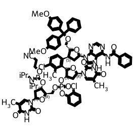 COc1ccc(C(OC[C@@H]2O[C@@H](n3cnc4c(NC(=O)c5ccccc5)ncnc43)C[C@H]2c2c[c]c(Cl)c(C)c2[C@H]2O[C@@H](n3cc(C)c(=O)[nH]c3=O)C[C@@H]2OP(=O)(OC[C@H]2O[C@@H](n3cc(C)c(=O)[nH]c3=O)C[C@@H]2OP(OCCC#N)N(C(C)C)C(C)C)Oc2ccccc2Cl)(c2ccccc2)c2ccc(OC)cc2)cc1